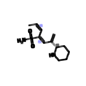 C=C(/C=C(\C=C/C)S(N)(=O)=O)[C@@H]1CCCCN1